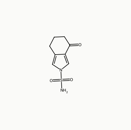 NS(=O)(=O)n1cc2c(c1)C(=O)CCC2